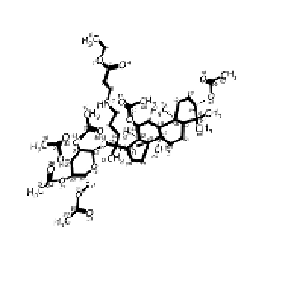 CCOC(=O)CCNCCCC(C)(O[C@H]1O[C@H](COC(C)=O)[C@@H](OC(C)=O)[C@H](OC(C)=O)C1OC(C)=O)C1CC[C@]2(C)[C@@H]1C(OC(C)=O)CC1[C@@]3(C)CC[C@H](OC(C)=O)C(C)(C)C3CC[C@]12C